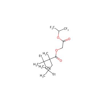 CCC(C)(C)CC(C)(C(=O)OCC(=O)OC(C(F)(F)F)C(F)(F)F)C(C)(C)CC